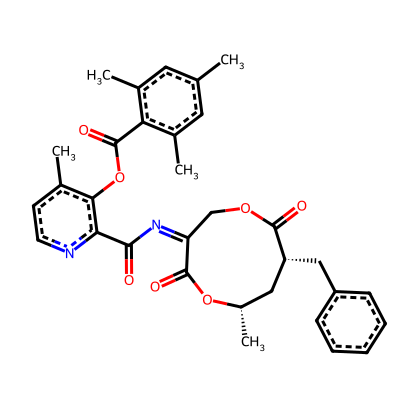 Cc1cc(C)c(C(=O)Oc2c(C)ccnc2C(=O)/N=C2/COC(=O)[C@H](Cc3ccccc3)C[C@H](C)OC2=O)c(C)c1